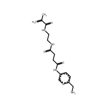 C=C(C)C(=O)NCCNC(=O)CCC(=O)Nc1ccc(CN)nc1